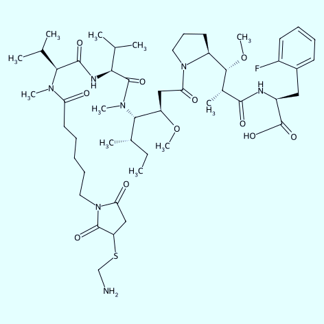 CC[C@H](C)[C@@H]([C@@H](CC(=O)N1CCC[C@H]1[C@H](OC)[C@@H](C)C(=O)N[C@@H](Cc1ccccc1F)C(=O)O)OC)N(C)C(=O)[C@@H](NC(=O)[C@H](C(C)C)N(C)C(=O)CCCCCN1C(=O)CC(SCN)C1=O)C(C)C